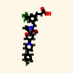 O=C(O)CCc1cc(CNC(=O)[C@@]2(C3CC3)CC[C@@H](N3CCC(c4ccc(F)cc4)CC3)CO2)cc(C(F)(F)F)c1